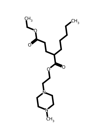 CCCCCC(CCC(=O)OCC)C(=O)OCCN1CCN(C)CC1